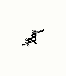 CCCCOc1cc2c(cc1O)-c1cc(=O)c(C(=O)OCC)cn1C(CC)C2